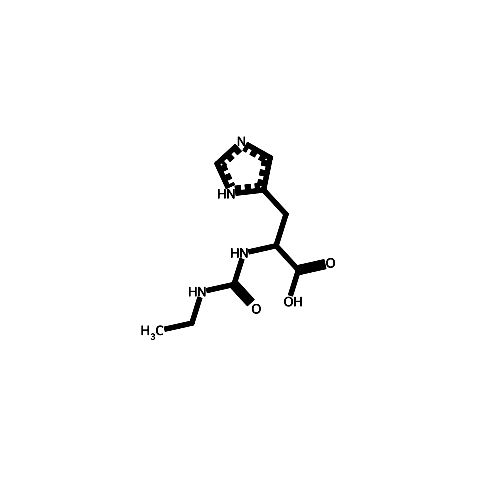 CCNC(=O)NC(Cc1cnc[nH]1)C(=O)O